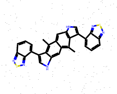 Cc1c2cc3[nH]cc(-c4cccc5nsnc45)c3c(C)c2cc2[nH]cc(-c3cccc4nsnc34)c12